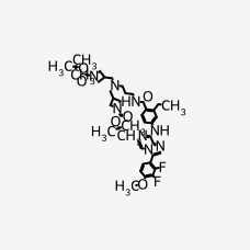 CCc1cc(Nc2nccn3c(-c4ccc(OC)c(F)c4F)cnc23)ccc1C(=O)NCCCN(CC1CN(C(=O)OC(C)(C)C)C1)CC1CN(C(=O)OC(C)(C)C)C1